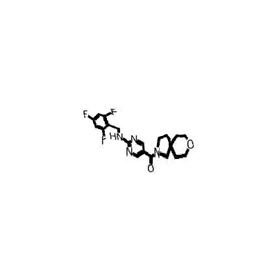 O=C(c1cnc(NCc2c(F)cc(F)cc2F)nc1)N1CCC2(CCOCC2)C1